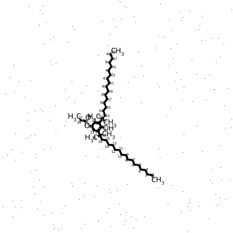 CCCCCCCCCCCCCCCCCC(C)(C)c1cc(OC(=O)CC)cc(C(C)(C)CCCCCCCCCCCCCCCCC)c1O